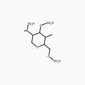 CC1C(COS(=O)(=O)O)OCC(NS(=O)(=O)O)C1OS(=O)(=O)O